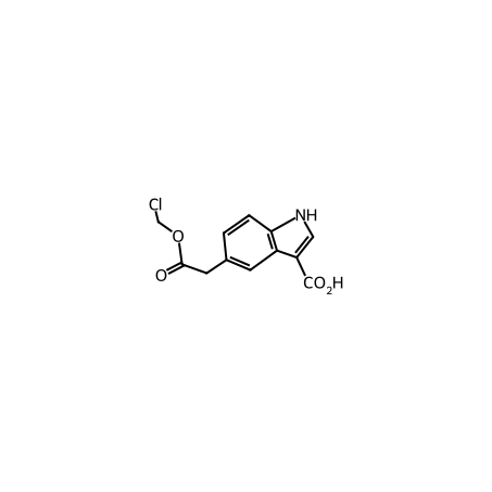 O=C(Cc1ccc2[nH]cc(C(=O)O)c2c1)OCCl